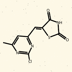 Cc1cc(/C=C2\SC(=O)NC2=O)nc(Cl)n1